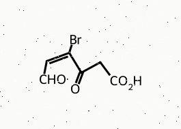 O=[C]/C=C(/Br)C(=O)CC(=O)O